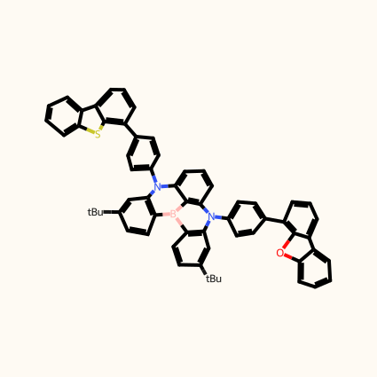 CC(C)(C)c1ccc2c(c1)N(c1ccc(-c3cccc4c3oc3ccccc34)cc1)c1cccc3c1B2c1ccc(C(C)(C)C)cc1N3c1ccc(-c2cccc3c2sc2ccccc23)cc1